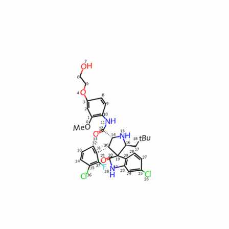 COc1cc(OCCO)ccc1NC(=O)[C@@H]1N[C@@H](CC(C)(C)C)C2(C(=O)Nc3cc(Cl)ccc32)[C@@H]1c1cccc(Cl)c1F